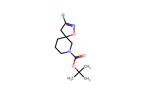 CC(C)(C)OC(=O)N1CCCC2(CC(Br)=NO2)C1